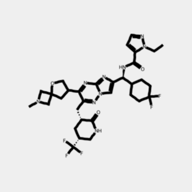 CCn1nccc1C(=O)N[C@H](c1cn2nc(C[C@H]3C[C@@H](C(F)(F)F)CNC3=O)c(C3COC4(C3)CN(C)C4)nc2n1)C1CCC(F)(F)CC1